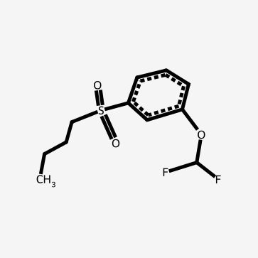 CCCCS(=O)(=O)c1cccc(OC(F)F)c1